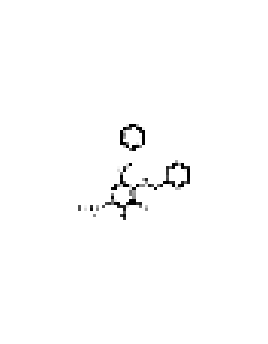 O=C(O)c1cc(OCc2ccccc2)c(OCc2ccccc2)c(=O)[nH]1